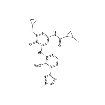 COc1c(Nc2cc(NC(=O)C3CC3C)nn(CC3CC3)c2=O)cccc1-c1ncn(C)n1